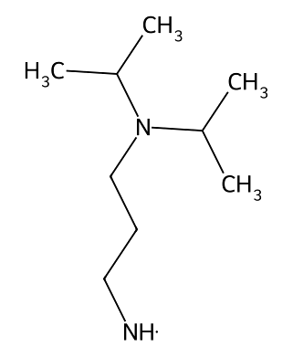 CC(C)N(CCC[NH])C(C)C